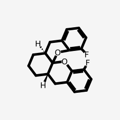 Fc1cccc2c1OC13Oc4c(F)cccc4C[C@@H]1CCC[C@H]3C2